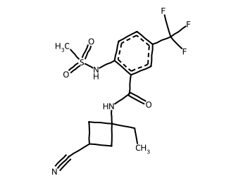 CCC1(NC(=O)c2cc(C(F)(F)F)ccc2NS(C)(=O)=O)CC(C#N)C1